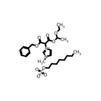 CCCCCCCCOS(=O)(=O)[O-].CCOC(C)OC(=O)C(C(=O)OCc1ccccc1)[n+]1ccn(C)c1